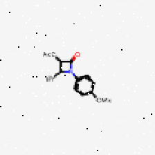 COc1ccc(N2C(=O)C(OC(C)=O)C2C(C)C)cc1